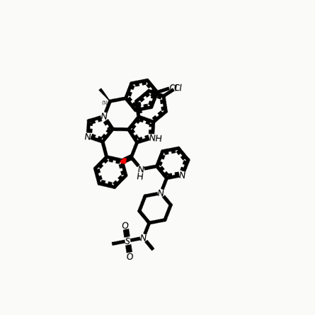 C=C(Nc1cccnc1N1CCC(N(C)S(C)(=O)=O)CC1)c1[nH]c2cc(Cl)ccc2c1-c1c(-c2ccccc2)ncn1[C@@H](C)c1ccc(Cl)cc1